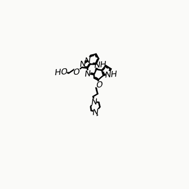 CN1CCN(CCCOC2=C/C(=N/c3c(OCCO)nn4ccccc34)C(=N)c3cc[nH]c32)CC1